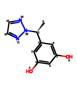 C[C@H](c1cc(O)cc(O)c1)n1nccn1